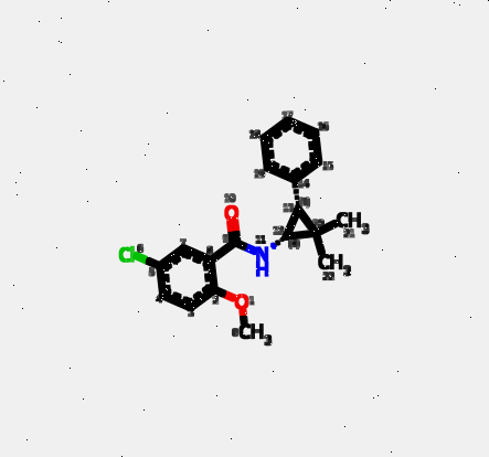 COc1ccc(Cl)cc1C(=O)N[C@@H]1[C@H](c2ccccc2)C1(C)C